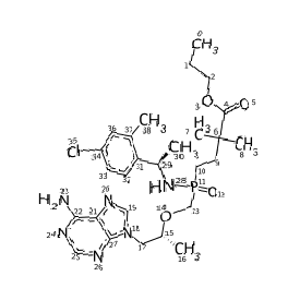 CCCOC(=O)C(C)(C)CCP(=O)(CO[C@H](C)Cn1cnc2c(N)ncnc21)N[C@H](C)c1ccc(Cl)cc1C